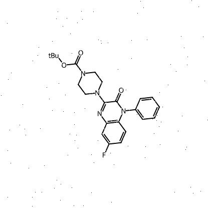 CC(C)(C)OC(=O)N1CCN(c2nc3cc(F)ccc3n(-c3ccccc3)c2=O)CC1